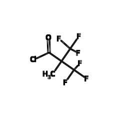 CC(C(=O)Cl)(C(F)(F)F)C(F)(F)F